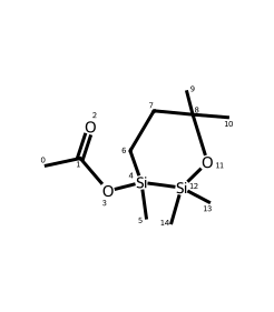 CC(=O)O[Si]1(C)CCC(C)(C)O[Si]1(C)C